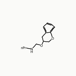 CCCNCOC1COc2ccccc2C1